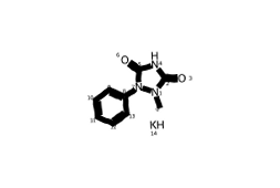 Cn1c(=O)[nH]c(=O)n1-c1ccccc1.[KH]